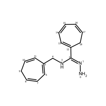 N/N=C(\NCC1=CC=CCC=C1)C1=CC=CC=CC1